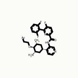 CC(=O)CCO[C@H]1[C@H](C)C[C@H](c2ccncc2NC(=O)c2ccc(F)c(-c3c(F)cccc3F)n2)C[C@@H]1N